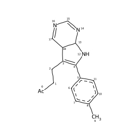 CC(=O)CCC1=C(c2ccc(C)cc2)NC2N=CN=CC12